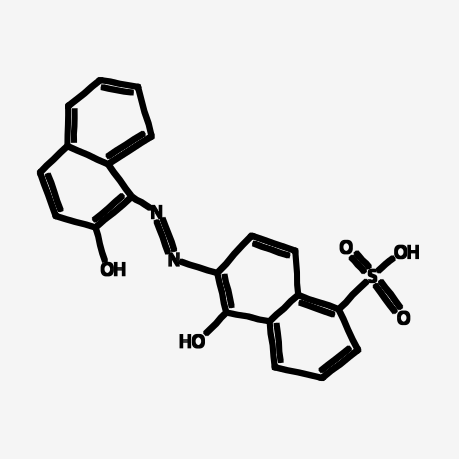 O=S(=O)(O)c1cccc2c(O)c(/N=N/c3c(O)ccc4ccccc34)ccc12